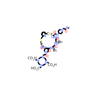 C=NC(=O)CN1CCC(NC(=O)[C@@H]2CSCc3cccc(n3)CSCCC(=O)NC3(CCN(C(=O)CN4CCN(CC(=O)O)CCN(CC(=O)O)CCN(CC(=O)O)CC4)CC3)C(=O)N[C@@H](CC(C)C)C(=O)N[C@@H]([C@@H](C)CC)C(=O)N2)CC1